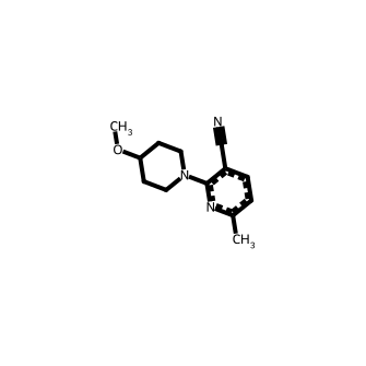 COC1CCN(c2nc(C)ccc2C#N)CC1